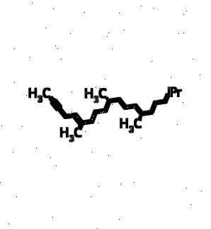 CC#CCC=C(C)CCC[C@H](C)CCC[C@H](C)CCCC(C)C